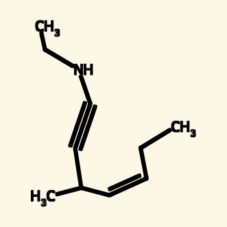 CC/C=C\C(C)C#CNCC